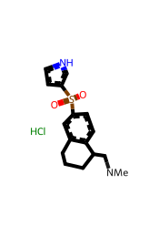 CNCC1CCCc2cc(S(=O)(=O)c3cc[nH]c3)ccc21.Cl